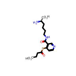 N[C@H](CCCCNC(=O)c1cnccc1SC(=O)CCC(=O)O)C(=O)O